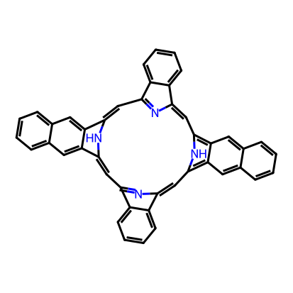 c1ccc2c(c1)-c1cc3[nH]c(cc4nc(cc5[nH]c(cc-2n1)c1cc2ccccc2cc51)-c1ccccc1-4)c1cc2ccccc2cc31